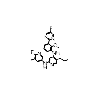 CCCc1cnc(Nc2cnc(F)c(C)c2)cc1Nc1cccc(-c2ncc(F)cn2)c1OC